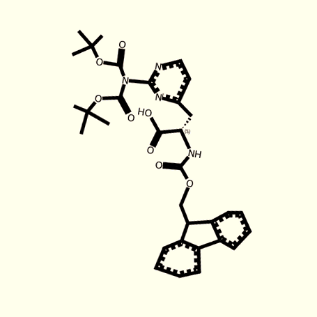 CC(C)(C)OC(=O)N(C(=O)OC(C)(C)C)c1nccc(C[C@H](NC(=O)OCC2c3ccccc3-c3ccccc32)C(=O)O)n1